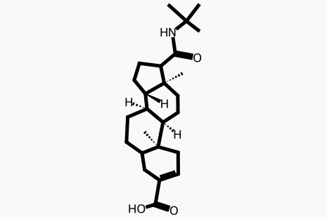 CC(C)(C)NC(=O)C1CC[C@H]2[C@@H]3CCC4CC(C(=O)O)=CC[C@]4(C)[C@@H]3CC[C@]12C